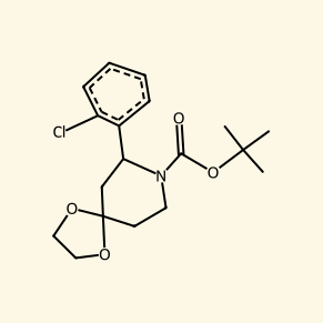 CC(C)(C)OC(=O)N1CCC2(CC1c1ccccc1Cl)OCCO2